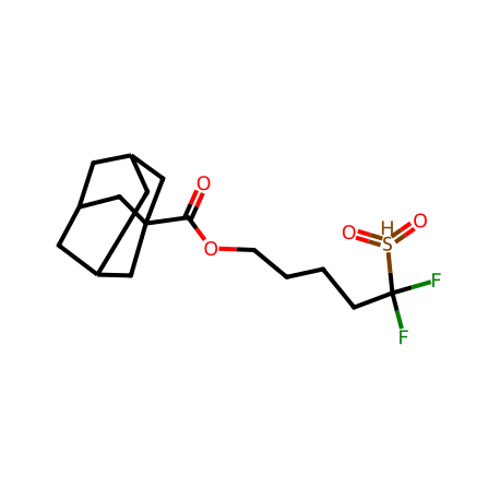 O=C(OCCCCC(F)(F)[SH](=O)=O)C12CC3CC(CC(C3)C1)C2